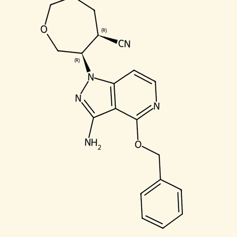 N#C[C@@H]1CCCOC[C@@H]1n1nc(N)c2c(OCc3ccccc3)nccc21